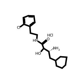 Cl.N[C@H](CC1CCCCC1)C(O)C(=O)NCCc1ccccc1Cl